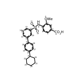 COc1cc(C(=O)O)ccc1NS(=O)(=O)c1cncc(-c2ccc(C3CCCCC3)cc2)c1